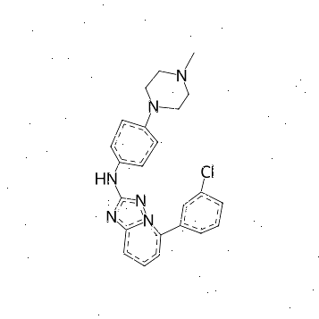 CN1CCN(c2ccc(Nc3nc4cccc(-c5cccc(Cl)c5)n4n3)cc2)CC1